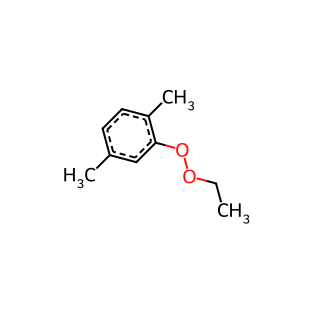 CCOOc1cc(C)ccc1C